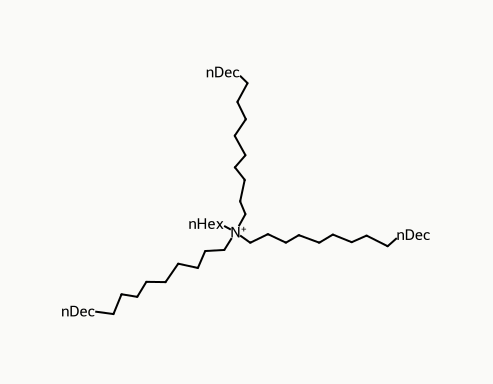 CCCCCCCCCCCCCCCCCCC[N+](CCCCCC)(CCCCCCCCCCCCCCCCCCC)CCCCCCCCCCCCCCCCCCC